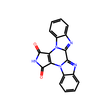 O=c1[nH]c(=O)c2c1n1c3ccccc3nc1c1nc3ccccc3n12